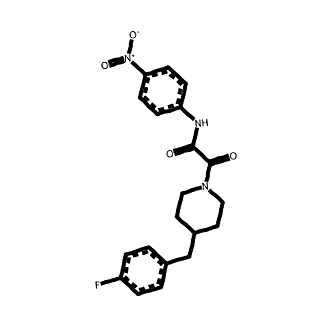 O=C(Nc1ccc([N+](=O)[O-])cc1)C(=O)N1CCC(Cc2ccc(F)cc2)CC1